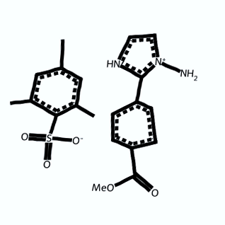 COC(=O)c1ccc(-c2[nH]cc[n+]2N)cc1.Cc1cc(C)c(S(=O)(=O)[O-])c(C)c1